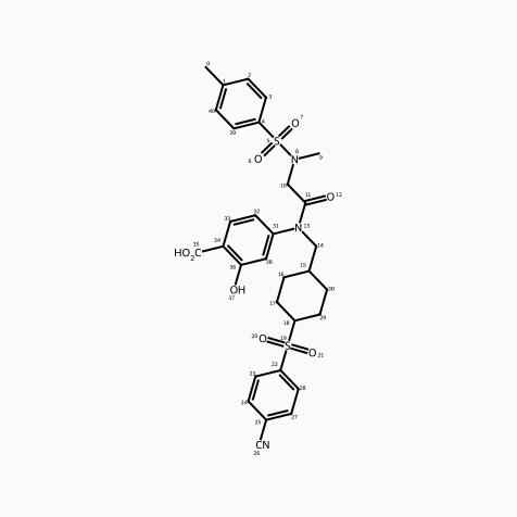 Cc1ccc(S(=O)(=O)N(C)CC(=O)N(CC2CCC(S(=O)(=O)c3ccc(C#N)cc3)CC2)c2ccc(C(=O)O)c(O)c2)cc1